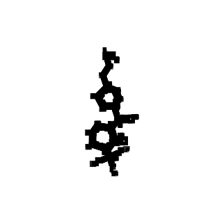 Cl.NCCc1ccc(Oc2cccc(C(F)(F)F)c2Cl)cc1